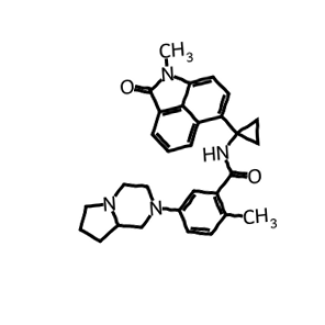 Cc1ccc(N2CCN3CCCC3C2)cc1C(=O)NC1(c2ccc3c4c(cccc24)C(=O)N3C)CC1